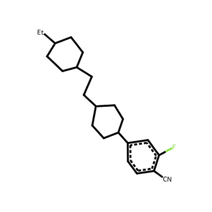 CCC1CCC(CCC2CCC(c3ccc(C#N)c(F)c3)CC2)CC1